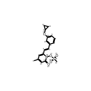 Cc1cc(C=Cc2cccc(OC3CC3)c2)n(OS(C)(=O)=O)c(=O)c1